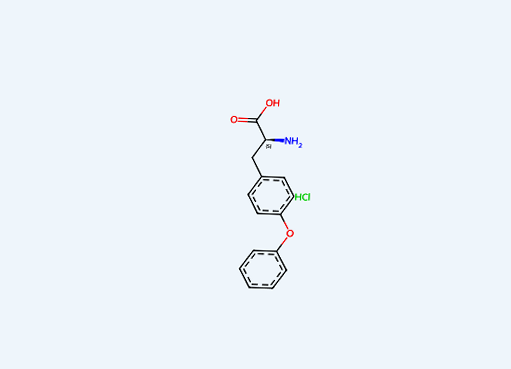 Cl.N[C@@H](Cc1ccc(Oc2ccccc2)cc1)C(=O)O